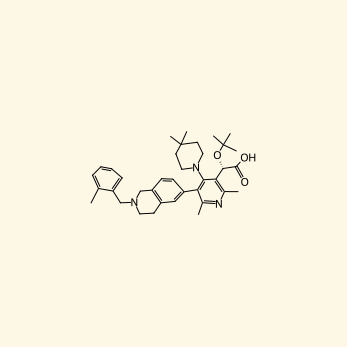 Cc1ccccc1CN1CCc2cc(-c3c(C)nc(C)c([C@H](OC(C)(C)C)C(=O)O)c3N3CCC(C)(C)CC3)ccc2C1